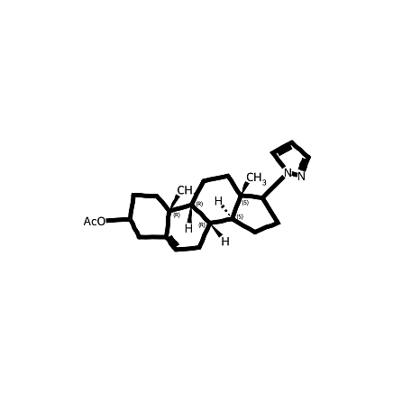 CC(=O)OC1CC[C@@]2(C)C(=CC[C@@H]3[C@H]2CC[C@]2(C)C(n4cccn4)CC[C@@H]32)C1